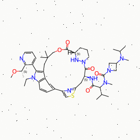 CCn1c(-c2cccnc2[C@H](C)OC)c2c3cc(ccc31)-c1csc(n1)C[C@H](NC(=O)C(C(C)C)N(C)C(=O)N1CC(N(C)C(C)C)C1)C(=O)N1CCC[C@H](N1)C(=O)OCC(C)(C)C2